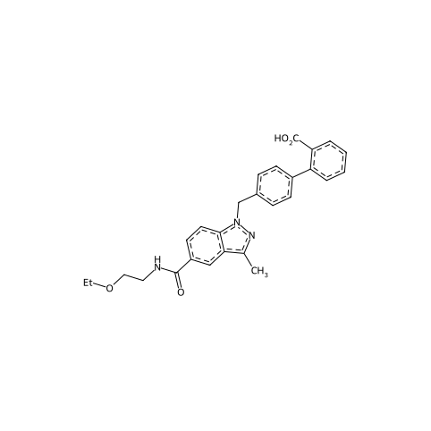 CCOCCNC(=O)c1ccc2c(c1)c(C)nn2Cc1ccc(-c2ccccc2C(=O)O)cc1